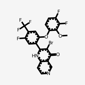 COc1c(Oc2cc(C(F)(F)F)c(F)cc2-c2[nH]c3ccncc3c(=O)c2Br)ccc(F)c1F